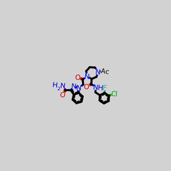 CC(=O)N1CCCN(C(=O)Cn2nc(C(N)=O)c3ccccc32)C(C(=O)NCc2cccc(Cl)c2F)C1